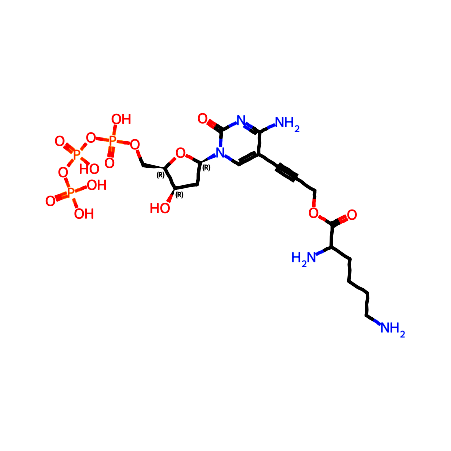 NCCCCC(N)C(=O)OCC#Cc1cn([C@H]2C[C@@H](O)[C@@H](COP(=O)(O)OP(=O)(O)OP(=O)(O)O)O2)c(=O)nc1N